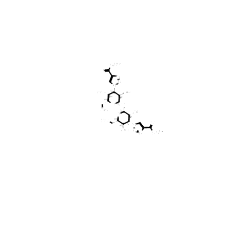 CNC(=O)c1cn([C@@H]2[C@@H](O)[C@@H](CO)O[C@@H](S[C@@H]3O[C@H](CO)[C@H](O)[C@@H](n4cc(C(=O)NC)nn4)[C@H]3O)[C@@H]2O)nn1